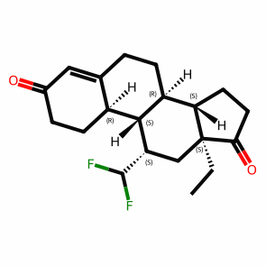 CC[C@]12C[C@H](C(F)F)[C@H]3[C@@H](CCC4=CC(=O)CC[C@@H]43)[C@@H]1CCC2=O